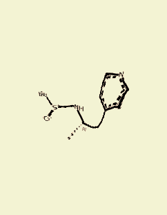 C[C@@H](Cc1ccncc1)N[S+]([O-])C(C)(C)C